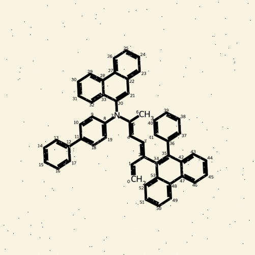 C=C/C(=C\C=C(/C)N(c1ccc(-c2ccccc2)cc1)c1cc2ccccc2c2ccccc12)c1c(-c2ccccc2)c2ccccc2c2ccccc12